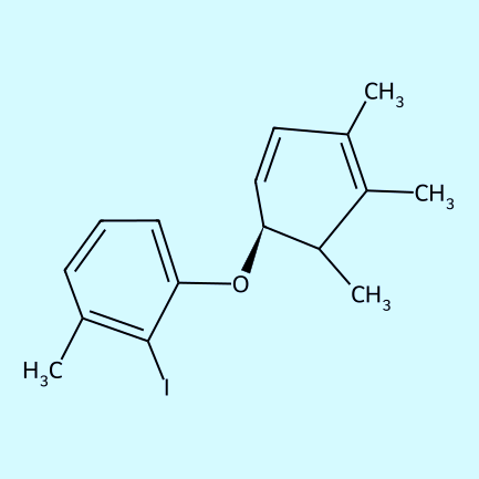 CC1=C(C)C(C)[C@@H](Oc2cccc(C)c2I)C=C1